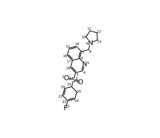 O=S(=O)(c1cnc2c(CN3CCCC3)cccc2c1)C1C=CC(F)=CC1